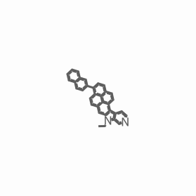 CCn1c2cnccc2c2c3ccc4ccc(-c5ccc6ccccc6c5)c5ccc(cc21)c3c45